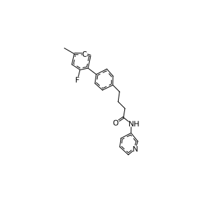 Cc1ccc(-c2ccc(CCCC(=O)Nc3cccnc3)cc2)c(F)c1